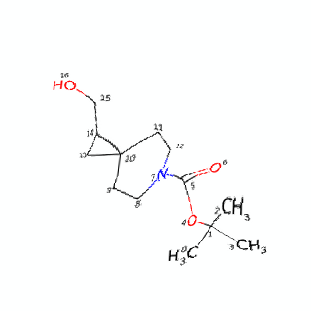 CC(C)(C)OC(=O)N1CCC2(CC1)CC2CO